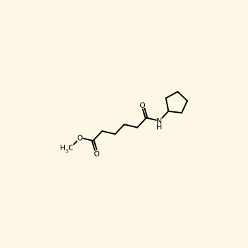 COC(=O)CCCCC(=O)NC1CCCC1